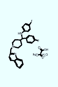 Fc1ccc(NC(c2ccc(F)cc2)C2CCN(Cc3ccc4ccccc4n3)CC2)cc1.O.O=C(O)C(=O)O